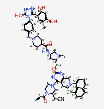 C=CC(=O)N1CCN(c2nc(OC[C@@H]3C[C@@H](NC(=O)C4CCN(Cc5ccc(-n6c(O)nnc6-c6cc(C(C)C)c(O)cc6O)cc5)CC4)CN3C)nc3c2CCN(c2cccc4cccc(Cl)c24)C3)CC1CC#N